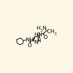 CC(N)C(=O)Nn1cc(C(=O)NC2CCCCC2)nn1